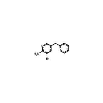 Nc1ncc(Cc2ccccc2)cc1Br